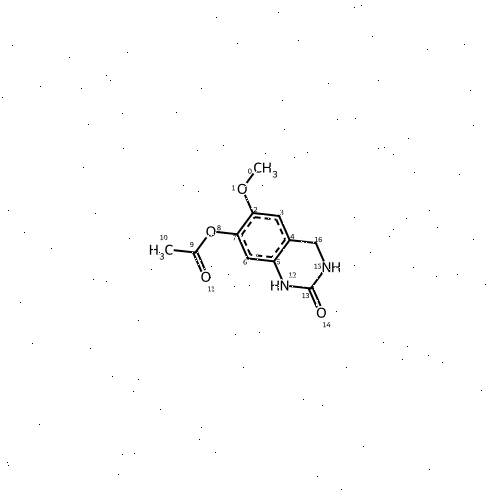 COc1cc2c(cc1OC(C)=O)NC(=O)NC2